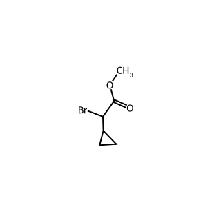 COC(=O)C(Br)C1CC1